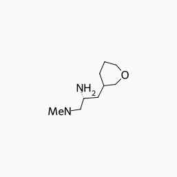 CNC[C@H](N)CC1CCCOC1